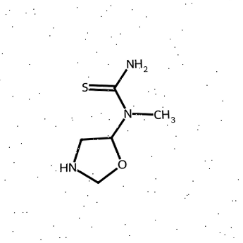 CN(C(N)=S)C1CNCO1